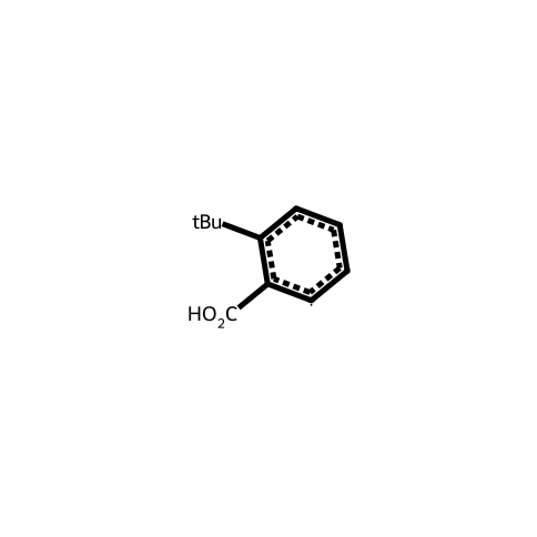 CC(C)(C)c1ccc[c]c1C(=O)O